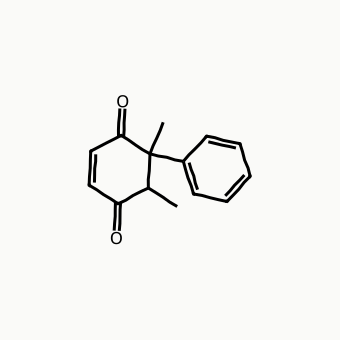 CC1C(=O)C=CC(=O)C1(C)c1ccccc1